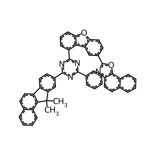 CC1(C)c2cc(-c3nc(-c4ccccc4)nc(-c4cccc5oc6ccc(-c7nc8ccc9ccccc9c8o7)cc6c45)n3)ccc2-c2ccc3ccccc3c21